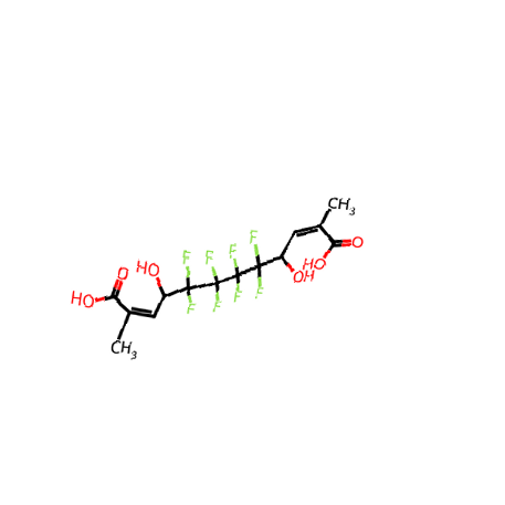 CC(=CC(O)C(F)(F)C(F)(F)C(F)(F)C(F)(F)C(O)C=C(C)C(=O)O)C(=O)O